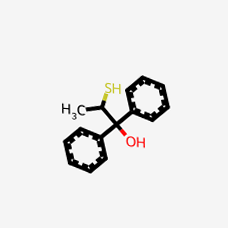 CC(S)C(O)(c1ccccc1)c1ccccc1